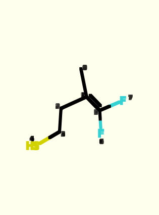 CC(CCS)=C(F)F